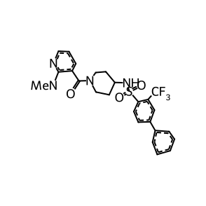 CNc1ncccc1C(=O)N1CCC(NS(=O)(=O)c2ccc(-c3ccccc3)cc2C(F)(F)F)CC1